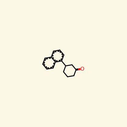 O=C1CCCC(c2cccc3ccccc23)C1